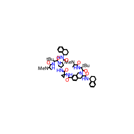 CNC(C)C(=O)NC(C(=O)N1Cc2cc(C(=O)NC3(C(=O)N[C@H]4C[C@@H](C(=O)N[C@@H]5CCCc6ccccc65)N(C(=O)C(NC(=O)C(C)NC)C(C)(C)C)C4)CC3)ccc2CC1C(=O)N[C@@H]1CCCc2ccccc21)C(C)(C)C